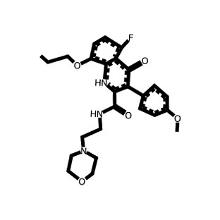 CCCOc1ccc(F)c2c(=O)c(-c3ccc(OC)cc3)c(C(=O)NCCN3CCOCC3)[nH]c12